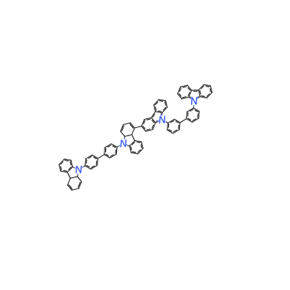 C1=CC2c3ccccc3N(c3ccc(-c4ccc(N5c6ccccc6C6C(c7ccc8c(c7)c7ccccc7n8-c7cccc(-c8cccc(-n9c%10ccccc%10c%10ccccc%109)c8)c7)=CC=CC65)cc4)cc3)C2C=C1